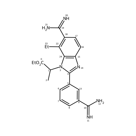 CCOC(=O)C(C)n1c(-c2cccc(C(=N)N)c2)nc2ccc(C(=N)N)c(CC)c21